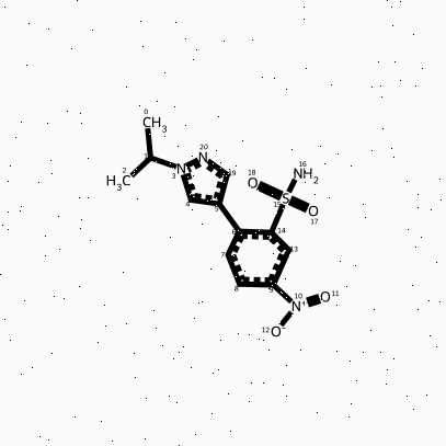 CC(C)n1cc(-c2ccc([N+](=O)[O-])cc2S(N)(=O)=O)cn1